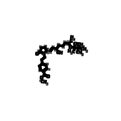 COC(=O)c1ccc(CCN2C(=O)CC[C@@H]2C=C[C@H](O)CCC[C@@H](C)O[Si](C)(C)C(C)(C)C)cc1